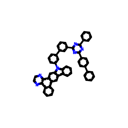 c1ccc(-c2ccc(-c3nc(-c4ccccc4)nc(-c4cccc(-c5cccc(-n6c7ccccc7c7cc8c9ccccc9c9nccnc9c8cc76)c5)c4)n3)cc2)cc1